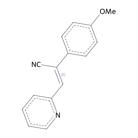 COc1ccc(/C(C#N)=C/c2ccccn2)cc1